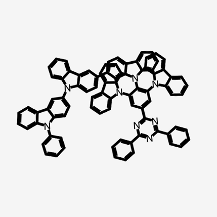 c1ccc(-c2nc(-c3ccccc3)nc(-c3cc(-n4c5ccccc5c5ccccc54)c(-n4c5ccccc5c5ccc(-c6ccc7c(c6)c6ccccc6n7-c6ccc7c(c6)c6ccccc6n7-c6ccccc6)cc54)c(-n4c5ccccc5c5ccccc54)c3)n2)cc1